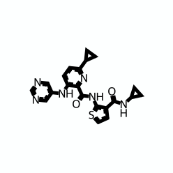 O=C(NC1CC1)c1ccsc1NC(=O)c1nc(C2CC2)ccc1Nc1cncnc1